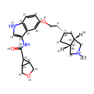 CCN1C[C@H]2C[C@@H](CCOc3ccc4[nH]cc(NC(=O)C5C6COCC65)c4c3)C[C@H]2C1